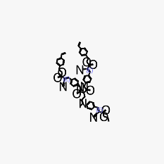 C=Cc1ccc(COC(=O)/C(C#N)=C/c2ccc(N3C(=O)C(CCN(C)c4ccc(/C=C(\C#N)C(=O)OCC)cc4)C(=O)N3c3ccc(/C=C(\C#N)C(=O)OCc4ccc(C=C)cc4)cc3)cc2)cc1